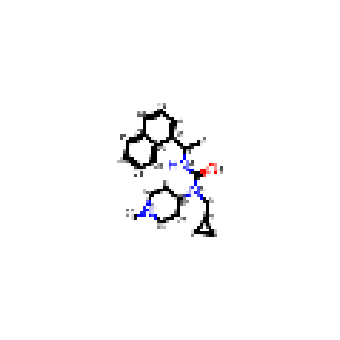 CC(NC(=O)N(CC1CC1)C1CCN(C)CC1)c1cccc2ccccc12